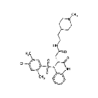 Cc1cc(S(=O)(=O)N2c3ccccc3NC(=O)[C@H]2CC(=O)NCCC2CCN(C)CC2)c(C)cc1Cl